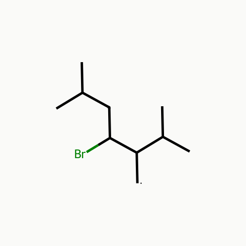 [CH2]C(C(C)C)C(Br)CC(C)C